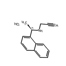 C#CCN[C@H](C)c1cccc2ccccc12.Cl